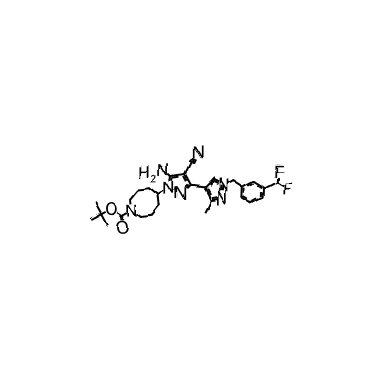 Cc1nn(Cc2cccc(C(F)F)c2)cc1-c1nn(C2CCCN(C(=O)OC(C)(C)C)CCC2)c(N)c1C#N